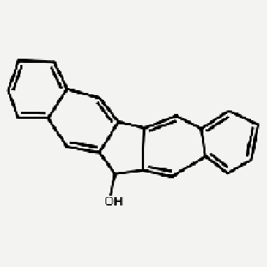 OC1c2cc3ccccc3cc2-c2cc3ccccc3cc21